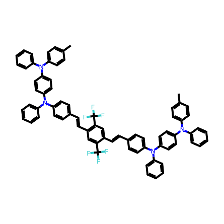 Cc1ccc(N(c2ccccc2)c2ccc(N(c3ccccc3)c3ccc(C=Cc4cc(C(F)(F)F)c(C=Cc5ccc(N(c6ccccc6)c6ccc(N(c7ccccc7)c7ccc(C)cc7)cc6)cc5)cc4C(F)(F)F)cc3)cc2)cc1